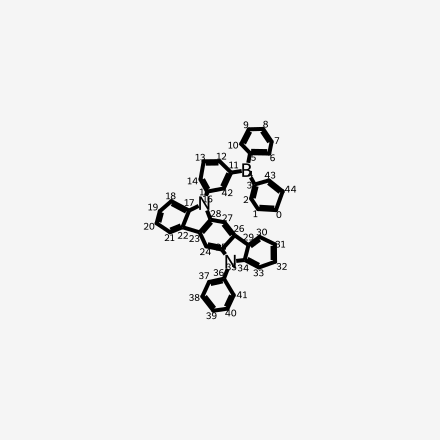 c1ccc(B(c2ccccc2)c2cccc(-n3c4ccccc4c4cc5c(cc43)c3ccccc3n5-c3ccccc3)c2)cc1